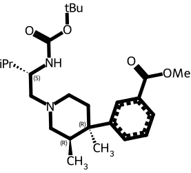 COC(=O)c1cccc([C@]2(C)CCN(C[C@@H](NC(=O)OC(C)(C)C)C(C)C)C[C@@H]2C)c1